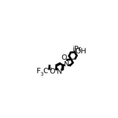 CC(C)[C@]1(O)CC[C@]2(CCN(c3ccc(O[C@@H](C)C(F)(F)F)nc3)C2=O)CC1